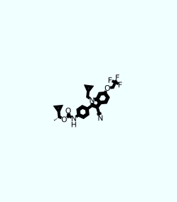 C[C@@H](OC(=O)Nc1ccc(-c2c(C#N)c3ccc(OCC(F)(F)F)cc3n2CC2CC2)cc1)C1CC1